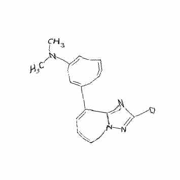 CN(C)c1cccc(-c2cccn3nc(Cl)nc23)c1